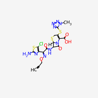 C#CCON=C(C(=O)NC1C(=O)N2C(C(=O)O)=C(Sc3nnnn3C)CS[C@@H]12)c1nc(N)sc1Cl